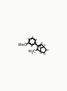 [CH2]C1C(c2cccc(OC)c2)=CC2CCC1C2